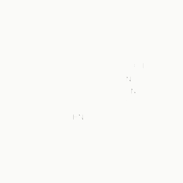 Cn1cc(-c2c[nH]c(C3CCCCC3)c2)cn1